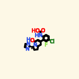 O=C(O)Nc1ccc(Cl)c(F)c1C1=CC(=O)N2C(CC[C@H]2c2ncc[nH]2)C1